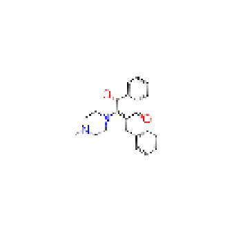 CN1CCN(C2=C(Cc3ccccc3)C(=O)c3ccccc3C2=O)CC1